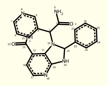 NC(=O)C(c1cccnc1)N1c2c(C(=O)O)ccnc2NC1c1ccccc1